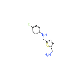 NCc1ccc(CNc2ccc(F)cc2)s1